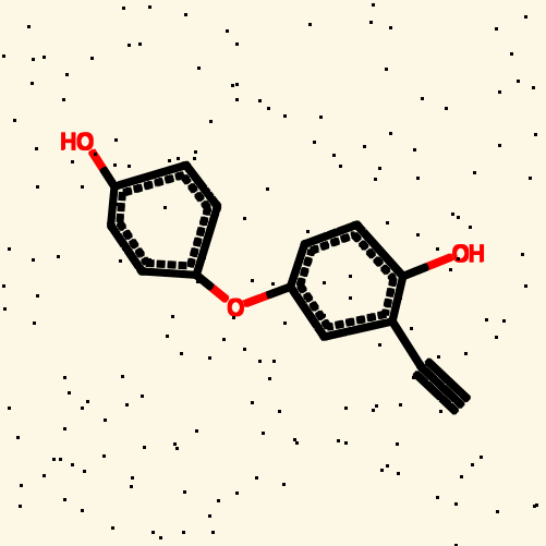 C#Cc1cc(Oc2ccc(O)cc2)ccc1O